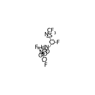 O=C(NCc1cc(F)cc(-c2cnc(C(F)(F)F)s2)c1)[C@@H]1C[C@@H](F)CN1S(=O)(=O)c1ccc(F)cc1